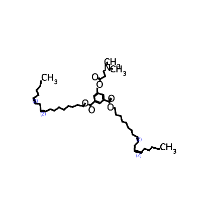 CCCCC/C=C\C/C=C\CCCCCCCCOC(=O)c1cc(COC(=O)CCN(C)C)cc(C(=O)OCCCCCCCC/C=C\C/C=C\CCCCC)c1